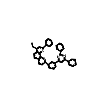 CCc1cc(-c2ccccc2)nc2c1ccc1ccc(-c3cccc(-c4cc(-c5ccccc5)nc(-c5ccccc5)n4)c3)nc12